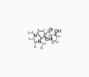 CCN(CC)c1ccc(C(=O)c2ccccc2O)c(O)c1N(CC)CC